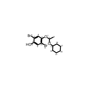 CC(Oc1cc(Br)c(O)cc1Br)OC1CCCCC1